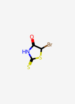 O=C1NC(=S)SC1Br